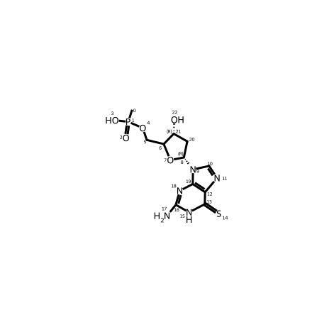 CP(=O)(O)OCC1O[C@@H](n2cnc3c(=S)[nH]c(N)nc32)C[C@H]1O